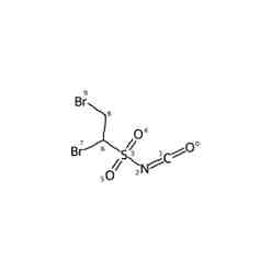 O=C=NS(=O)(=O)C(Br)CBr